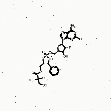 CC(C)(CO)C(=O)SCCOP(=O)(NCc1ccccc1)OC[C@H]1O[C@@H](n2cnc3c(N)nc(Cl)nc32)[C@H](F)C1O